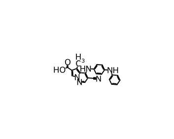 Cc1c(C(=O)O)cn2ncc(C#N)c(Nc3ccc(Nc4ccccc4)cc3)c12